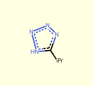 CC(C)c1nnn[nH]1